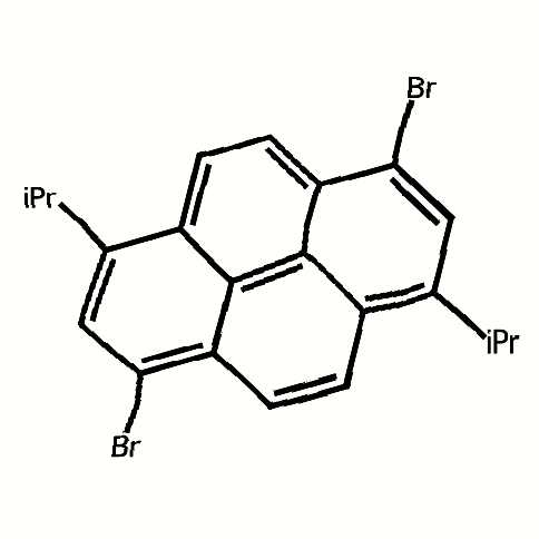 CC(C)c1cc(Br)c2ccc3c(C(C)C)cc(Br)c4ccc1c2c43